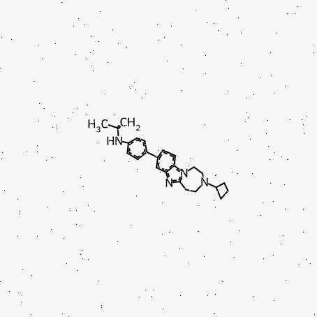 C=C(C)Nc1ccc(-c2ccc3c(c2)nc2n3CCN(C3CCC3)CC2)cc1